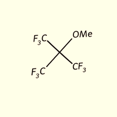 COC(C(F)(F)F)(C(F)(F)F)C(F)(F)F